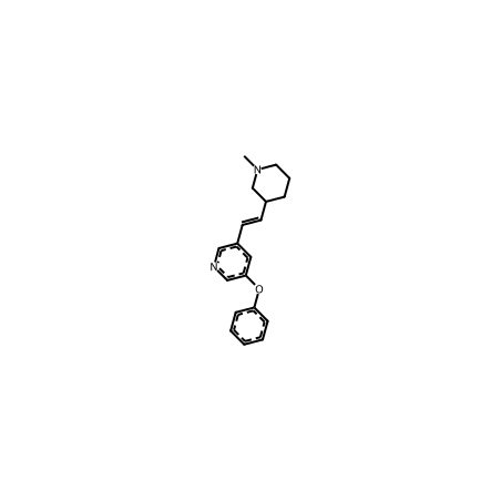 CN1CCCC(/C=C/c2cncc(Oc3ccccc3)c2)C1